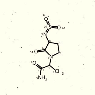 CC(C(N)=O)N1CCC(N=S(=O)=O)C1=O